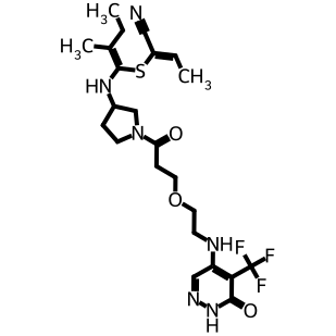 C/C=C(/C#N)S/C(NC1CCN(C(=O)CCOCCNc2cn[nH]c(=O)c2C(F)(F)F)C1)=C(/C)CC